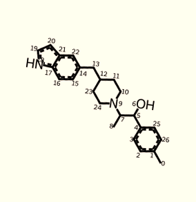 Cc1ccc(C(O)C(C)N2CCC(Cc3ccc4[nH]ccc4c3)CC2)cc1